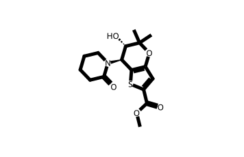 COC(=O)c1cc2c(s1)[C@@H](N1CCCCC1=O)[C@H](O)C(C)(C)O2